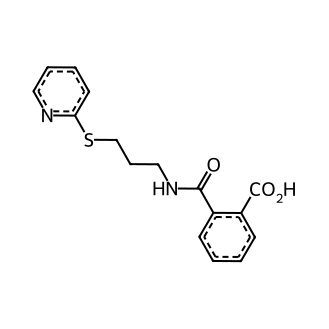 O=C(O)c1ccccc1C(=O)NCCCSc1ccccn1